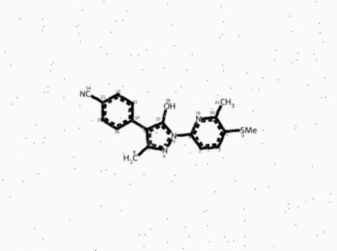 CSc1ccc(-n2nc(C)c(-c3ccc(C#N)cc3)c2O)nc1C